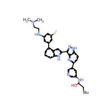 CN(C)CCNc1cc(F)cc(-c2cccc3[nH]c(-c4n[nH]c5ccc(-c6cncc(NC(O)CC(C)(C)C)c6)nc45)cc23)c1